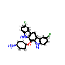 NC1CCC(Oc2c3[nH]c4ccc(F)cc4c3cc3c2[nH]c2ccc(F)cc23)CC1